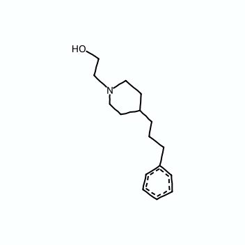 OCCN1CCC(CCCc2ccccc2)CC1